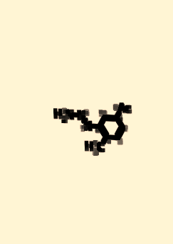 CC(=O)c1ccc(C)c(N=NN)c1